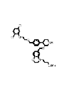 COCCCN1CCOc2ccc(CO[C@H]3CNCC[C@@H]3c3ccc(COCCOc4cc(Cl)ccc4Cl)cc3)cc21